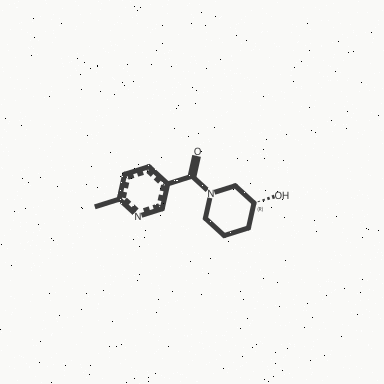 Cc1ccc(C(=O)N2CCC[C@@H](O)C2)cn1